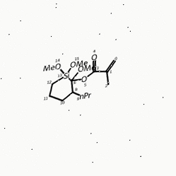 C=C(C)C(=O)OC1(OC)C(CCC)CCC[Si]1(OC)OC